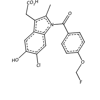 Cc1c(CC(=O)O)c2cc(O)c(Cl)cc2n1C(=O)c1ccc(OCF)cc1